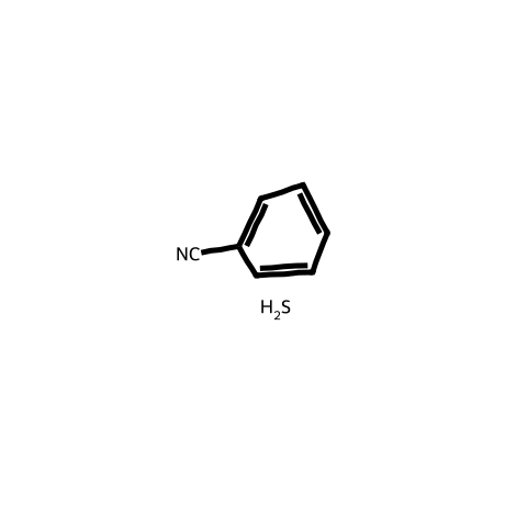 N#Cc1ccccc1.S